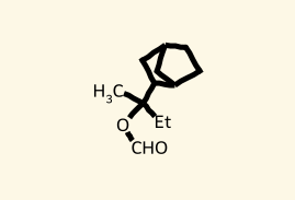 CCC(C)(OC=O)C1CC2CCC1C2